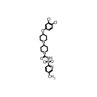 Cc1ccc(S(=O)(=O)NC(=O)N2CCC(N3CCC(Oc4ccc(Cl)c(Cl)c4)CC3)CC2)nc1